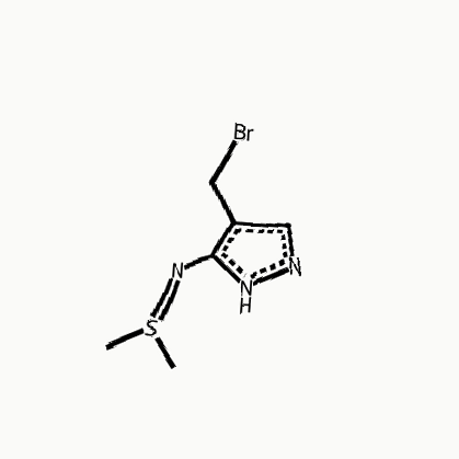 CS(C)=Nc1[nH]ncc1CBr